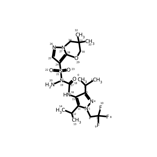 CC(C)c1nn(CC(F)(F)F)c(C(C)C)c1NC(=O)N(N)S(=O)(=O)c1cnn2c1OCC(C)(C)C2